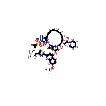 COc1ccc2c(O[C@@H]3C[C@H]4C(=O)N[C@]5(C(=O)NS(=O)(=O)C6CC6)CC5/C=C\CCCCC[C@H](CC(=O)N5CCCCC5)C(=O)N4C3)cc(-c3nc(C(C)C)cs3)nc2c1